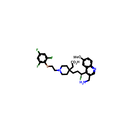 COc1ccc2ncc(CN)c([C@@H](F)CCC3(CC(=O)O)CCN(CCSc4c(F)cc(F)cc4F)CC3)c2c1